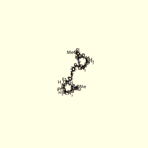 CC[C@H]([C@@H](C)[C@@H]1C/C=C/C(=O)N[C@H](Cc2ccc(OC)c(Cl)c2)C(=O)NCC(C)(C)C(=O)O[C@@H](CC(C)C)C(=O)O1)[C@H](C)c1ccc(CSSCc2ccc([C@H]3O[C@@H]3[C@@H](C)C3C/C=C/C(=O)N[C@H](Cc4ccc(OC)c(Cl)c4)C(=O)NCC(C)(C)C(=O)O[C@@H](CC(C)C)C(=O)O3)cc2)cc1